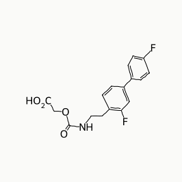 O=C(O)COC(=O)NCCc1ccc(-c2ccc(F)cc2)cc1F